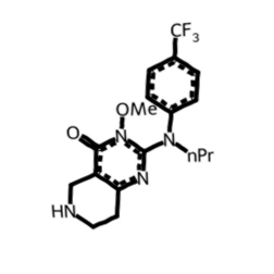 CCCN(c1ccc(C(F)(F)F)cc1)c1nc2c(c(=O)n1OC)CNCC2